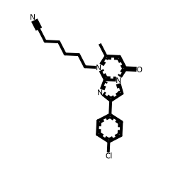 Cc1cc(=O)n2cc(-c3ccc(Cl)cc3)nc2n1CCCCCC#N